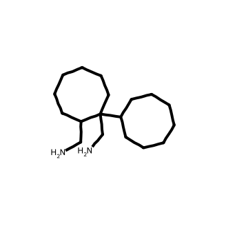 NCC1CCCCCCC1(CN)C1CCCCCCC1